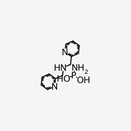 NP(O)O.c1ccc(CNCc2ccccn2)nc1